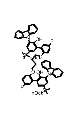 CCCCCCCC[Si](C)(C)c1cc(-c2cc(F)ccc2OCCCCOc2ccc(F)cc2-c2cc([Si](C)(C)CCCCCCCC)cc(-n3c4ccccc4c4ccccc43)c2O)c(O)c(-n2c3ccccc3c3ccccc32)c1